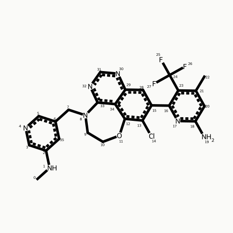 CNc1cncc(CN2CCOc3c(Cl)c(-c4nc(N)cc(C)c4C(F)(F)F)cc4ncnc2c34)c1